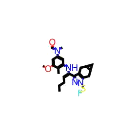 CCC/C=C(/Nc1cc(N(C)C=O)cc(OC)c1C)c1nn(SF)c2c1CC1CC1C2